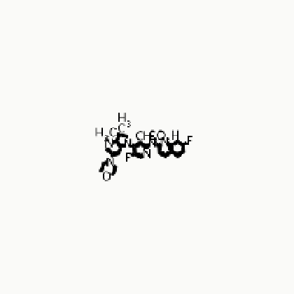 Cc1c(N(C(=O)O)c2ccc3ccc(F)cc3n2)ncc(F)c1N1CC(C)(C)c2ncc(N3CCOCC3)cc21